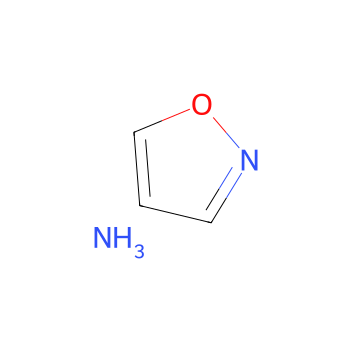 N.c1cnoc1